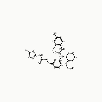 Cc1cnc(NC(=O)COc2ccc(N(CC(C)C)C3CCCCC3)c(NC(=O)Nc3ccc(Cl)cc3F)c2)s1